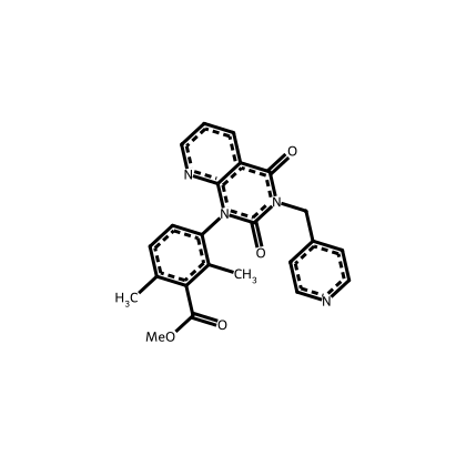 COC(=O)c1c(C)ccc(-n2c(=O)n(Cc3ccncc3)c(=O)c3cccnc32)c1C